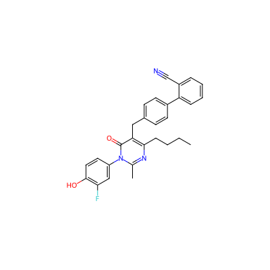 CCCCc1nc(C)n(-c2ccc(O)c(F)c2)c(=O)c1Cc1ccc(-c2ccccc2C#N)cc1